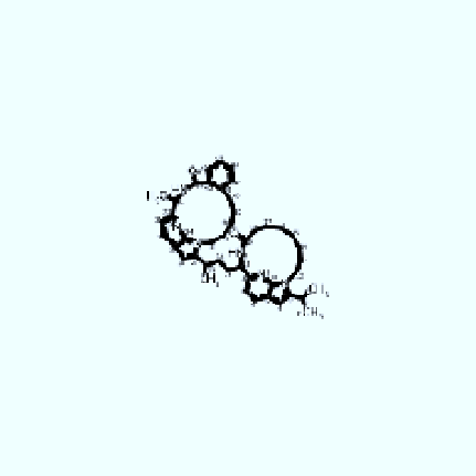 CC(C)c1cc2ccc3nc2n1CCCCCCCC(=O)NC3CCC(C)c1cc2ccc3nc2n1CCCCCc1ccccc1C(=O)NC3C